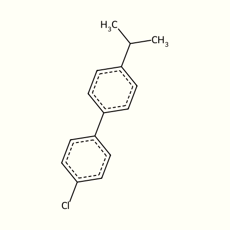 CC(C)c1ccc(-c2ccc(Cl)cc2)cc1